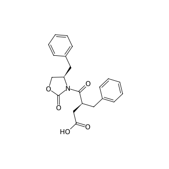 O=C(O)C[C@H](Cc1ccccc1)C(=O)N1C(=O)OC[C@H]1Cc1ccccc1